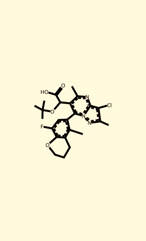 Cc1nc2c(Cl)c(C)nn2c(-c2cc(F)c3c(c2C)CCCO3)c1C(OC(C)(C)C)C(=O)O